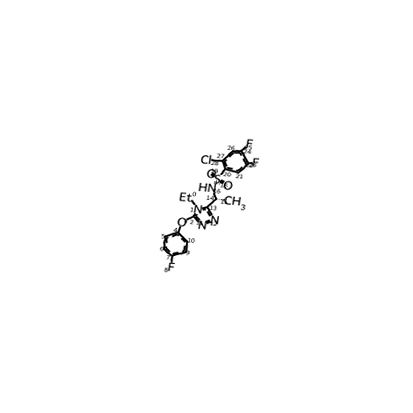 CCn1c(Oc2ccc(F)cc2)nnc1[C@@H](C)NS(=O)(=O)c1cc(F)c(F)cc1Cl